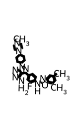 Cc1cc(C)c2oc(Nc3ccc(-c4nn(C5CCC(N6CCN(C)CC6)CC5)c5ncnc(N)c45)cc3F)nc2c1